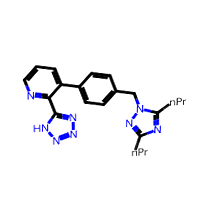 CCCc1nc(CCC)n(Cc2ccc(-c3cccnc3-c3nnn[nH]3)cc2)n1